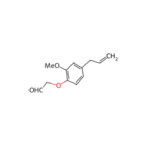 C=CCc1ccc(OC[C]=O)c(OC)c1